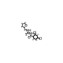 O=C(NC(=S)NCC1CCCO1)c1ccc(Cl)cc1Cl